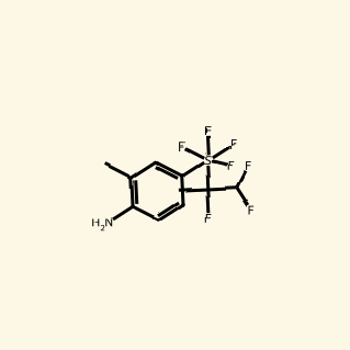 Cc1cc(S(F)(F)(F)(F)C(C)(F)C(F)F)ccc1N